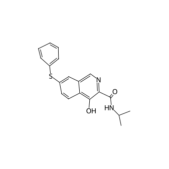 CC(C)NC(=O)c1ncc2cc(Sc3ccccc3)ccc2c1O